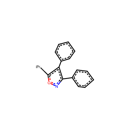 CC(C)c1onc(-c2ccccc2)c1-c1ccccc1